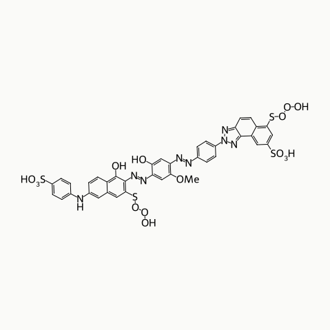 COc1cc(N=Nc2c(SOOO)cc3cc(Nc4ccc(S(=O)(=O)O)cc4)ccc3c2O)c(O)cc1N=Nc1ccc(-n2nc3ccc4c(SOOO)cc(S(=O)(=O)O)cc4c3n2)cc1